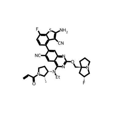 C=CC(=O)N1CC[C@H](N(CC)c2nc(OC[C@@]34CCCN3C[C@H](F)C4)nc3cc(-c4ccc(F)c5sc(N)c(C#N)c45)c(C#N)cc23)[C@@H]1C